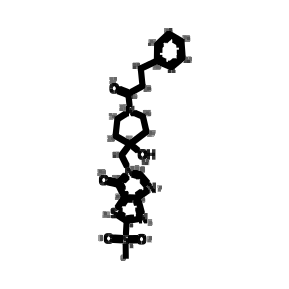 CS(=O)(=O)c1nc2ncn(CC3(O)CCN(C(=O)CCc4ccccc4)CC3)c(=O)c2s1